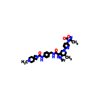 Cc1noc(=O)n1-c1ccc(N2Cc3c(C(=O)NCc4ccc(NC(=O)N5CC6(CCN(C)CC6)C5)cc4)nn(C(C)C)c3[C@@H](C)C2)nc1